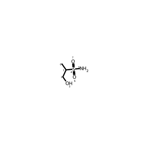 CC(CO)S(N)(=O)=O